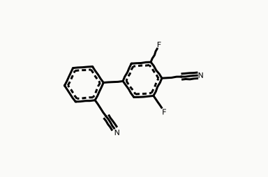 N#Cc1ccccc1-c1cc(F)c(C#N)c(F)c1